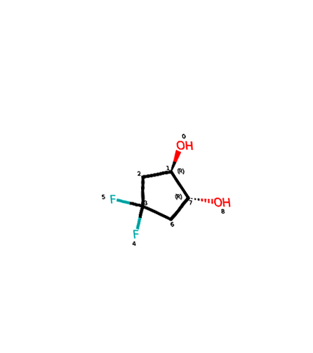 O[C@@H]1CC(F)(F)C[C@H]1O